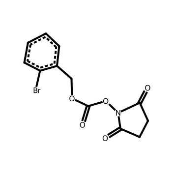 O=C(OCc1ccccc1Br)ON1C(=O)CCC1=O